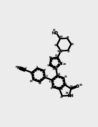 N#Cc1ccc(-c2nc3c(cc2-n2ccc(N4CCCC(O)C4)n2)C(=O)NC3)cc1